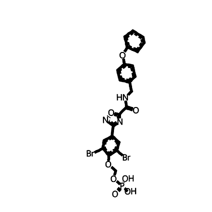 O=C(NCc1ccc(Oc2ccccc2)cc1)c1nc(-c2cc(Br)c(OCOP(=O)(O)O)c(Br)c2)no1